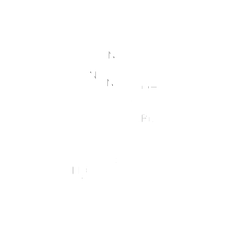 C=C/C=C(\C=C/C)/C=C(\C(O)C(C)(C)C)n1cncn1